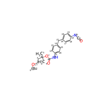 CC(C)(C)OCCC(C)(C)OC(=O)Nc1ccc(Cc2ccc(N=C=O)cc2)cc1